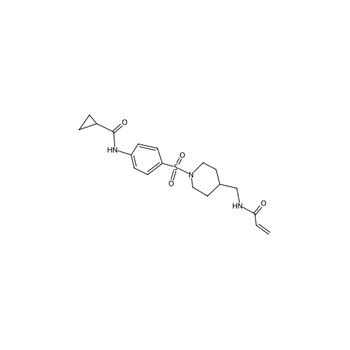 C=CC(=O)NCC1CCN(S(=O)(=O)c2ccc(NC(=O)C3CC3)cc2)CC1